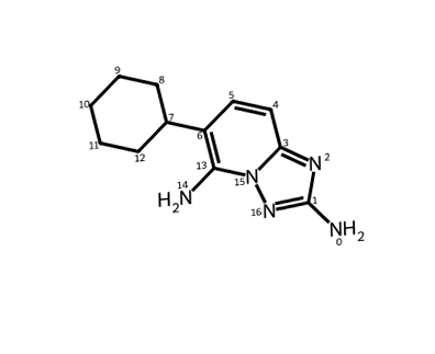 Nc1nc2ccc(C3CCCCC3)c(N)n2n1